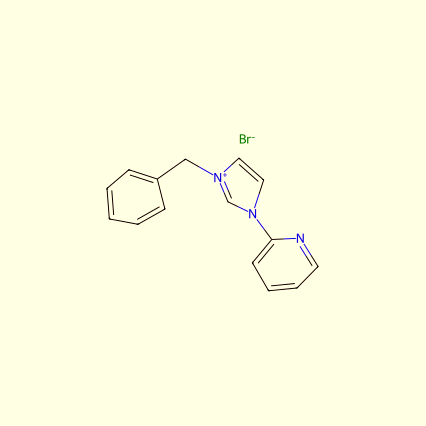 [Br-].c1ccc(C[n+]2ccn(-c3ccccn3)c2)cc1